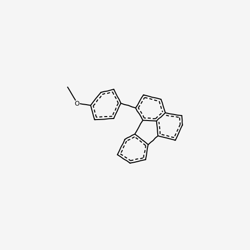 COc1ccc(-c2ccc3cccc4c3c2-c2ccccc2-4)cc1